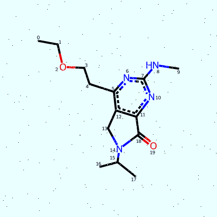 CCOCCc1nc(NC)nc2c1CN(C(C)C)C2=O